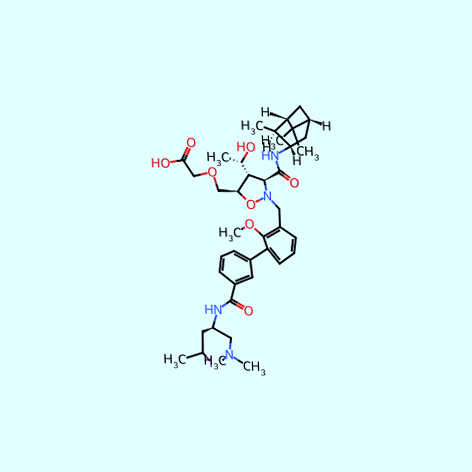 COc1c(CN2O[C@@H](COCC(=O)O)[C@H]([C@H](C)O)[C@H]2C(=O)N[C@H]2C[C@H]3C[C@@H]([C@@H]2C)C3(C)C)cccc1-c1cccc(C(=O)N[C@H](CC(C)I)CN(C)C)c1